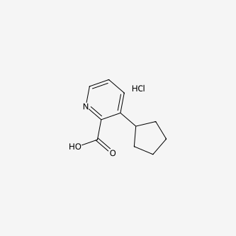 Cl.O=C(O)c1ncccc1C1CCCC1